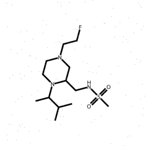 CC(C)C(C)N1CCN(CCF)CC1CNS(C)(=O)=O